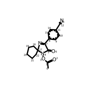 CC(=O)ON1C(=O)C(c2ccc(C#N)cc2)=NC12CCCCC2